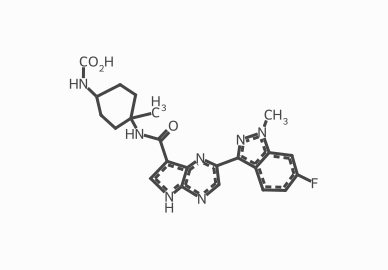 Cn1nc(-c2cnc3[nH]cc(C(=O)NC4(C)CCC(NC(=O)O)CC4)c3n2)c2ccc(F)cc21